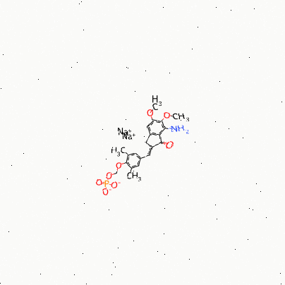 COc1cc2c(c(N)c1OC)C(=O)C(=Cc1cc(C)c(OCOP(=O)([O-])[O-])c(C)c1)C2.[Na+].[Na+]